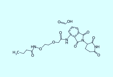 CCCC(=O)NOCCOCC(=O)Nc1cccc2c1C(=O)N(C1CCC(=O)NC1=O)C2=O.O=CO